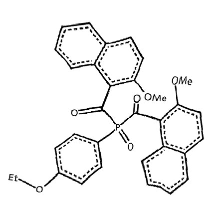 CCOc1ccc(P(=O)(C(=O)c2c(OC)ccc3ccccc23)C(=O)c2c(OC)ccc3ccccc23)cc1